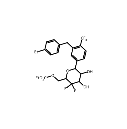 CCOC(=O)OCC1OC(c2ccc(C(F)(F)F)c(Cc3ccc(CC)cc3)c2)C(O)C(O)C1(F)F